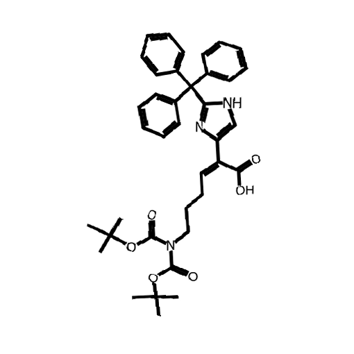 CC(C)(C)OC(=O)N(CCCC=C(C(=O)O)c1c[nH]c(C(c2ccccc2)(c2ccccc2)c2ccccc2)n1)C(=O)OC(C)(C)C